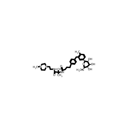 CS[C@H]1O[C@@H](c2ccc(C)c(Cc3ccc(CCCC(=O)NC(C)(C)C(=O)NCCN4CCN(C)CC4)cc3)c2)[C@H](O)[C@@H](O)[C@@H]1O